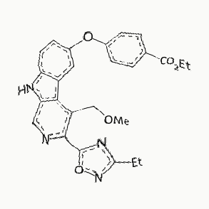 CCOC(=O)c1ccc(Oc2ccc3[nH]c4cnc(-c5nc(CC)no5)c(COC)c4c3c2)cc1